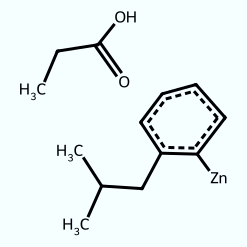 CC(C)Cc1cccc[c]1[Zn].CCC(=O)O